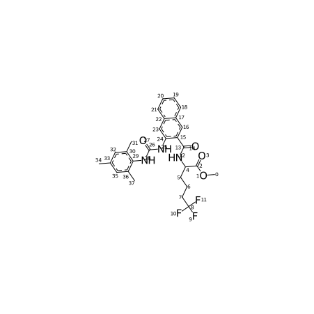 COC(=O)C(CCCC(F)(F)F)NC(=O)c1cc2ccccc2cc1NC(=O)Nc1c(C)cc(C)cc1C